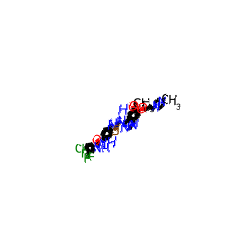 COc1cc2c(Nc3nc4ccc(NC(=O)Nc5ccc(Cl)c(C(F)(F)F)c5)cc4s3)ncnc2cc1OCCCN1CCN(C)CC1